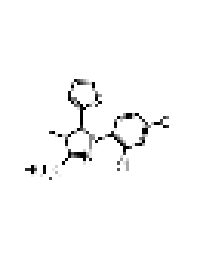 CC1C(C(=O)O)=NN(c2ccc(Cl)cc2Cl)C1c1cccs1